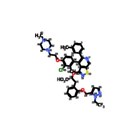 Cc1cccc(-c2ncc3snc(O[C@H](Cc4ccccc4OCc4ccnn4CC(F)(F)F)C(=O)O)c3c2-c2ccc(OCCN3CCN(C)CC3)c(Cl)c2C)c1